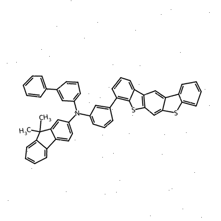 CC1(C)c2ccccc2-c2ccc(N(c3cccc(-c4ccccc4)c3)c3cccc(-c4cccc5c4sc4cc6sc7ccccc7c6cc45)c3)cc21